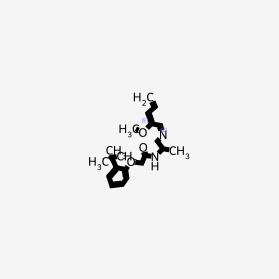 C=C/C=C(\C=N/CC(C)NC(=O)COc1ccccc1C(C)(C)C)OC